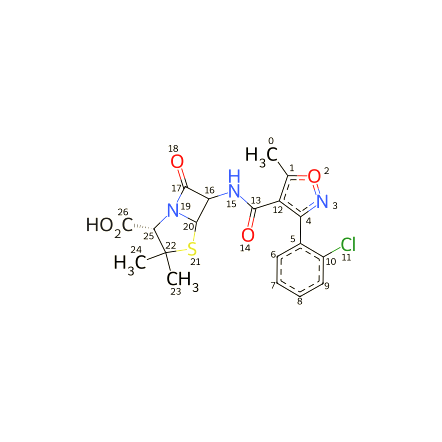 Cc1onc(-c2ccccc2Cl)c1C(=O)NC1C(=O)N2C1SC(C)(C)[C@@H]2C(=O)O